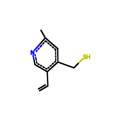 C=Cc1cnc(C)cc1CS